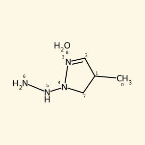 CC1C=NN(NN)C1.O